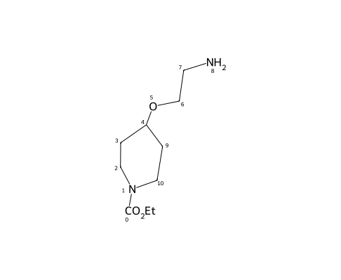 CCOC(=O)N1CCC(OCCN)CC1